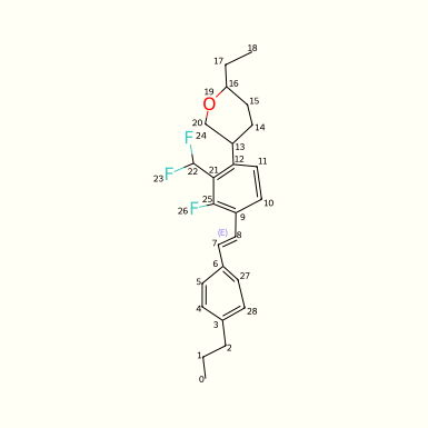 CCCc1ccc(/C=C/c2ccc(C3CCC(CC)OC3)c(C(F)F)c2F)cc1